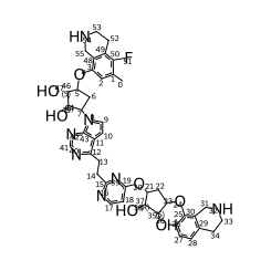 Cc1cc(OC2CC(n3ccc4c(CCc5nccc(OC6CC(Oc7cccc8c7CNCC8)[C@@H](O)[C@H]6O)n5)ncnc43)[C@H](O)[C@@H]2O)c2c(c1F)CCNC2